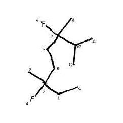 CCC(C)(F)CCC(C)(F)C(C)C